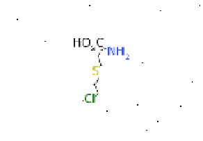 NC(CCSCCCCl)C(=O)O